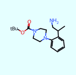 CC(CN)c1ccccc1N1CCN(C(=O)OC(C)(C)C)CC1